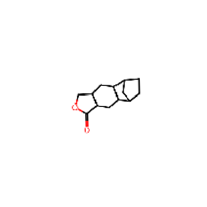 O=C1OCC2CC3C4CCC(C4)C3CC12